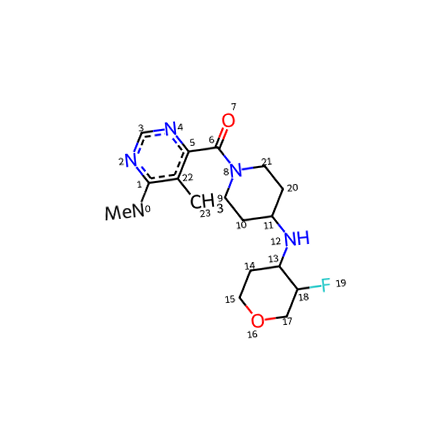 CNc1ncnc(C(=O)N2CCC(NC3CCOCC3F)CC2)c1C